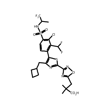 CC(NS(=O)(=O)c1ccc(-c2sc(-c3noc(CC(C)(C)C(=O)O)n3)nc2CC2CCC2)c(C(F)F)c1Cl)C(F)(F)F